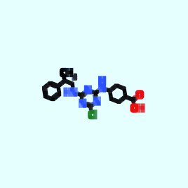 C[C@@H](CNc1nc(Cl)nc(NC2CCC(C(=O)O)CC2)n1)c1ccccc1